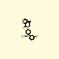 NC[C@]1(C2C=CC=C(Cl)C2)CC[C@@H](N(CC2CC2)C(=O)c2cccnn2)CC1